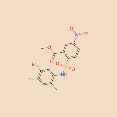 COC(=O)c1cc([N+](=O)[O-])ccc1S(=O)(=O)Nc1cc(Br)c(F)cc1C